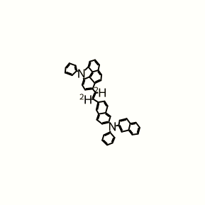 [2H]/C(=C(/[2H])c1ccc2c3c1ccc1cccc(c13)n2-c1ccccc1)c1ccc2cc(N(c3ccccc3)c3ccc4ccccc4c3)ccc2c1